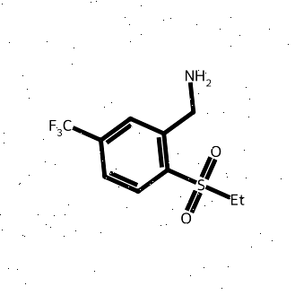 CCS(=O)(=O)c1ccc(C(F)(F)F)cc1CN